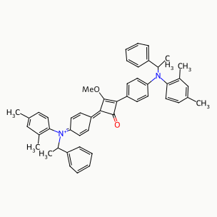 COC1=C(c2ccc(N(c3ccc(C)cc3C)C(C)c3ccccc3)cc2)C(=O)C1=C1C=CC(=[N+](c2ccc(C)cc2C)C(C)c2ccccc2)C=C1